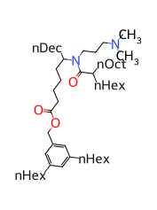 CCCCCCCCCCC(CCCCC(=O)OCc1cc(CCCCCC)cc(CCCCCC)c1)N(CCCN(C)C)C(=O)C(CCCCCC)CCCCCCCC